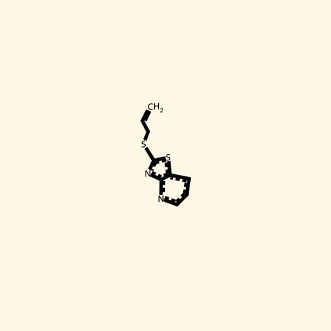 C=CCSc1nc2ncccc2s1